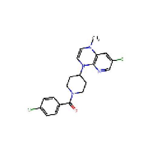 CN1C=CN(C2CCN(C(=O)c3ccc(Cl)cc3)CC2)c2ncc(Cl)cc21